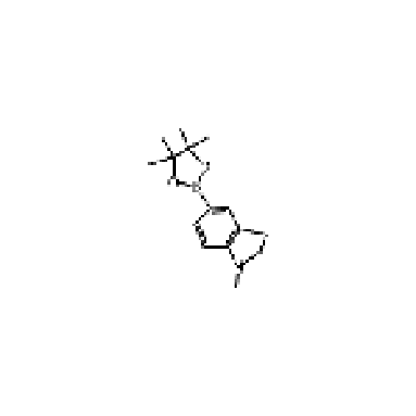 CN1CCc2cc(B3OC(C)(C)C(C)(C)O3)ccc21